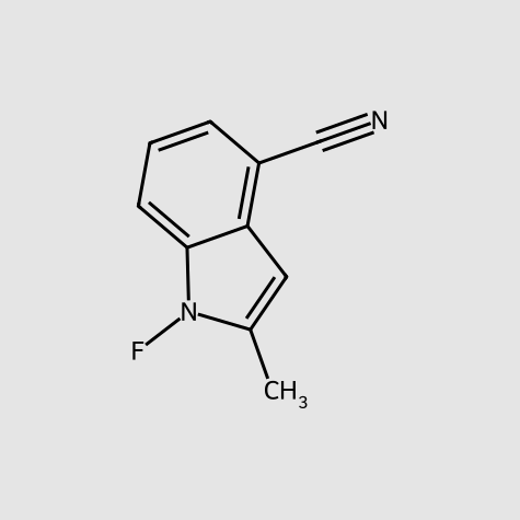 Cc1cc2c(C#N)cccc2n1F